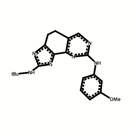 COc1cccc(Nc2ncc3c(n2)-c2sc(NC(C)(C)C)nc2CC3)c1